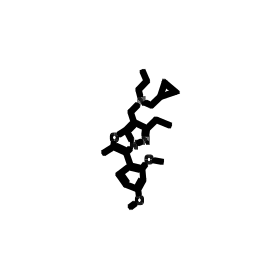 CCCN(Cc1c(CC)nn2c(-c3ccc(OC)cc3OC)c(C)oc12)CC1CC1